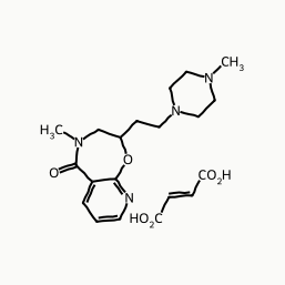 CN1CCN(CCC2CN(C)C(=O)c3cccnc3O2)CC1.O=C(O)/C=C/C(=O)O